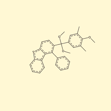 COc1c(C)cc(C(OC)(OC)c2ccc3sc4ccccc4c3c2-c2ccccc2)cc1C